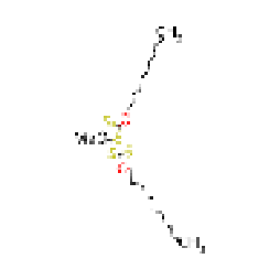 C=CCCCCCCCCCOC(=S)SC(OC)SC(=S)OCCCCCCCCCC=C